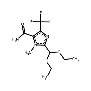 CCOC(OCC)c1nc(C(F)(F)F)c(C(N)=O)n1C